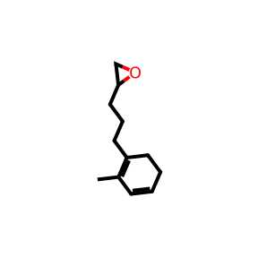 CC1=C(CCCC2CO2)CCC=C1